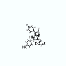 CCOC(=O)c1c(-c2ccc(C#N)cc2)[nH]c2c(-c3ccc(C)cc3)c(C)nn2c1=O